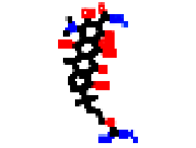 CC1c2ccc(C(C)(C)CCCOC(=N)N)c(O)c2C(=O)C2=C(O)C3(O)C(=O)C(C(N)=O)=C(O)C(N(C)C)C3C(O)C21